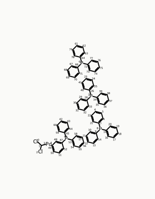 Cl[CH](Cl)[Pd].c1ccc(P(c2ccccc2)c2ccccc2)cc1.c1ccc(P(c2ccccc2)c2ccccc2)cc1.c1ccc(P(c2ccccc2)c2ccccc2)cc1.c1ccc(P(c2ccccc2)c2ccccc2)cc1